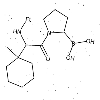 CCNC(C(=O)N1CCCC1B(O)O)C1(C)CCCCC1